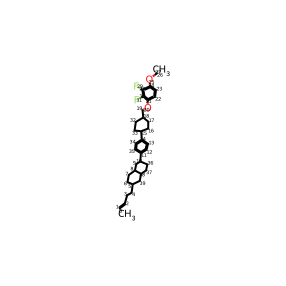 C/C=C/CCC1CCC2CC(c3ccc(C4CCC(COc5ccc(OCC)c(F)c5F)CC4)cc3)CCC2C1